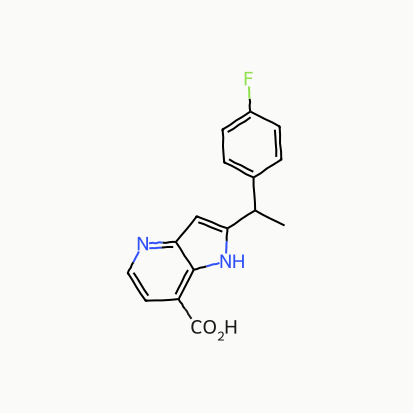 CC(c1ccc(F)cc1)c1cc2nccc(C(=O)O)c2[nH]1